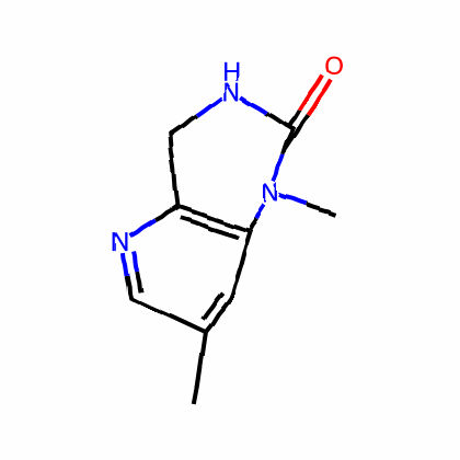 Cc1cnc2c(c1)N(C)C(=O)NC2